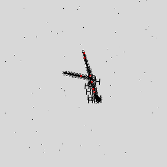 CCCCCCCCCCCCCCCCCCN(CCCCCCCCCCCCCCCCCC)C(=O)CNC(=O)CNCCCNCCCNC1=NCCCN1